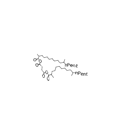 CCCCCC(C)CCCCCCCCC(C)C(=O)OC(=O)CCC(=O)OC(=O)C(C)CCCCCCCCC(C)CCCCC